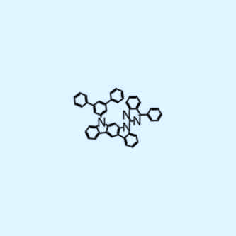 c1ccc(-c2cc(-c3ccccc3)cc(-n3c4ccccc4c4cc5c6ccccc6n(-c6nc(-c7ccccc7)c7ccccc7n6)c5cc43)c2)cc1